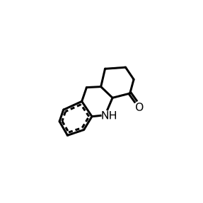 O=C1CCCC2Cc3ccccc3NC12